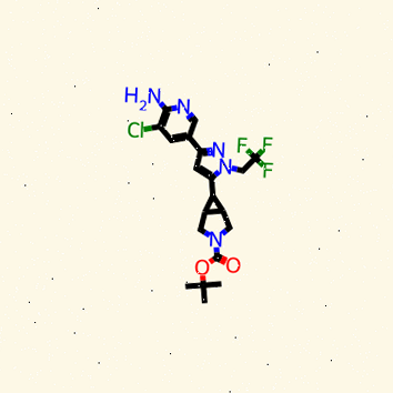 CC(C)(C)OC(=O)N1CC2C(C1)C2c1cc(-c2cnc(N)c(Cl)c2)nn1CC(F)(F)F